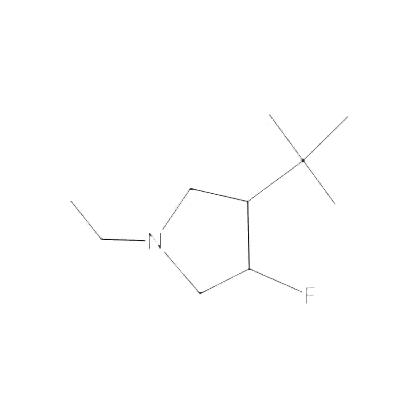 CCN1CC(F)C(C(C)(C)C)C1